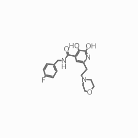 O=C(NCc1ccc(F)cc1)c1cc(CCN2CCOCC2)nc(O)c1O